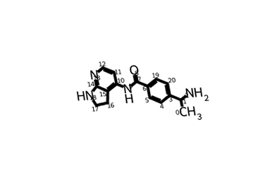 CC(N)c1ccc(C(=O)Nc2ccnc3c2CCN3)cc1